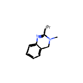 CC(C)C1=Nc2ccccc2CN1C